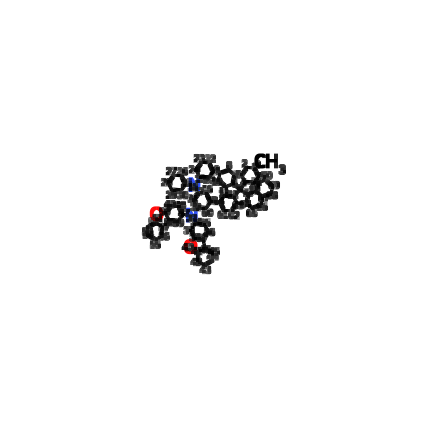 Cc1ccc(C2(c3ccccc3)c3cc(-c4cc(N(c5ccccc5)c5ccccc5)cc(N(c5ccc6c(c5)oc5ccccc56)c5ccc6oc7ccccc7c6c5)c4)ccc3-c3ccc4ccccc4c32)cc1